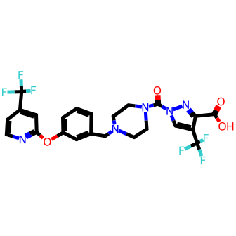 O=C(O)c1nn(C(=O)N2CCN(Cc3cccc(Oc4cc(C(F)(F)F)ccn4)c3)CC2)cc1C(F)(F)F